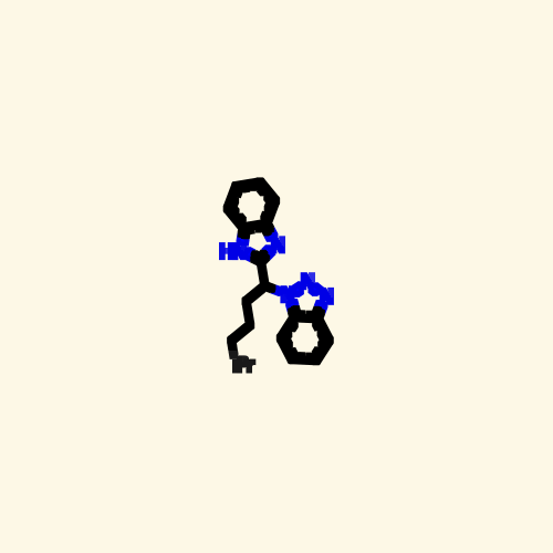 CC(C)CCCC(c1nc2ccccc2[nH]1)n1nnc2ccccc21